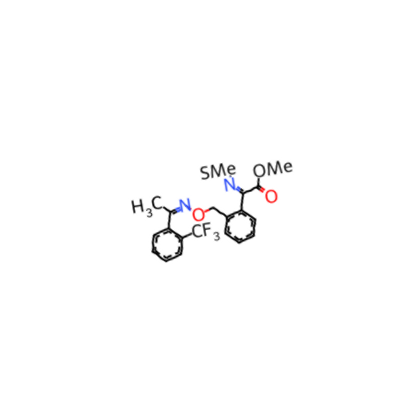 COC(=O)C(=NSC)c1ccccc1CON=C(C)c1ccccc1C(F)(F)F